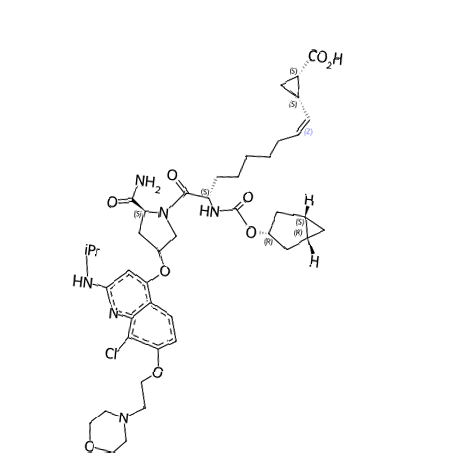 CC(C)Nc1cc(OC2C[C@@H](C(N)=O)N(C(=O)[C@H](CCCCC/C=C\[C@@H]3C[C@@H]3C(=O)O)NC(=O)O[C@@H]3C[C@@H]4C[C@@H]4C3)C2)c2ccc(OCCN3CCOCC3)c(Cl)c2n1